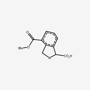 CC(C)(C)OC(=O)c1cccc2c1C[N]C2C(=O)O